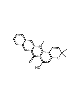 Cn1c2cc3ccccc3cc2c(=O)c2c(O)cc3c(c21)C=CC(C)(C)O3